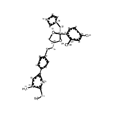 CCSc1nc(-c2ccc(OC[C@@H]3CO[C@@](Cn4ccnc4)(c4ccc(Cl)cc4Cl)O3)cc2)cn1C